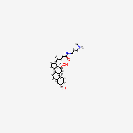 C[C@H](CCC(=O)NCCCN(C)C)C1CCC2C3CCC4C[C@H](O)CC[C@]4(C)C3C[C@H](O)[C@@]21C